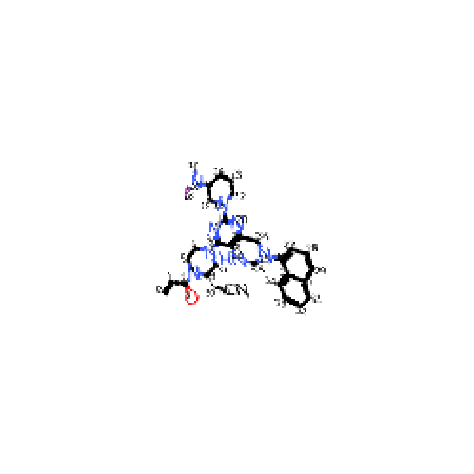 C=CC(=O)N1CCN(c2nc(N3CCCC(N(C)I)C3)nc3c2NCN(c2cccc4ccccc24)C3)C[C@@H]1CC#N